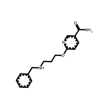 NC(=O)c1ccc(OCCCNCc2ccccc2)nc1